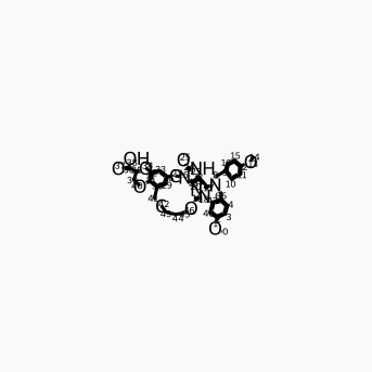 COc1ccc(CN(Cc2ccc(OC)cc2)c2nc3nc4c2[nH]c(=O)n4Cc2cc(c4c(c2)OC(C(=O)O)CO4)CCCCCO3)cc1